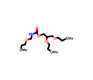 COCCOCNC(=O)OCC(COCCOC)OCCOC